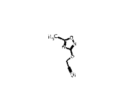 C#CCOc1noc(C)n1